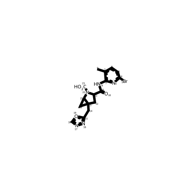 Cc1ccc(Br)nc1NC(=O)C1CC2(Cc3nnco3)CC2N1C(=O)O